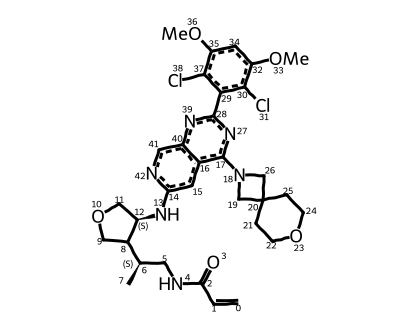 C=CC(=O)NC[C@@H](C)C1COC[C@H]1Nc1cc2c(N3CC4(CCOCC4)C3)nc(-c3c(Cl)c(OC)cc(OC)c3Cl)nc2cn1